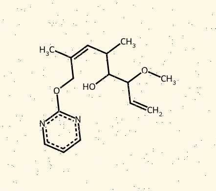 C=CC(OC)C(O)C(C)/C=C(/C)COc1ncccn1